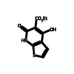 CCOC(=O)c1c(O)c2ccsc2[nH]c1=O